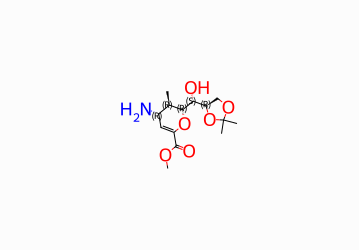 COC(=O)C1=C[C@H](N)[C@@H](C)[C@H]([C@H](O)[C@H]2COC(C)(C)O2)O1